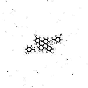 Cc1cccc(COc2ccc3c4cc(C)ccc4c4c(OCc5cccc(C)c5)ccc5c6cc(C)ccc6c2c3c54)c1